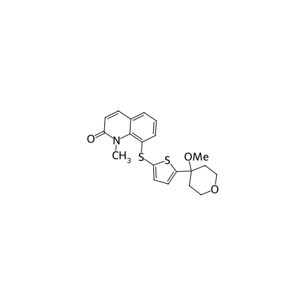 COC1(c2ccc(Sc3cccc4ccc(=O)n(C)c34)s2)CCOCC1